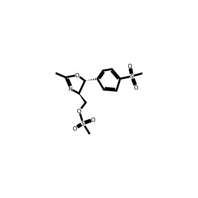 CC1=N[C@H](COS(C)(=O)=O)[C@@H](c2ccc(S(C)(=O)=O)cc2)O1